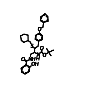 CC(C)(C)OC(=O)NC(CNC(=O)c1ccccc1O)C(Cc1ccc(OCc2ccccc2)cc1)SCC1CCCCC1